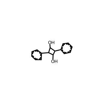 OC1C(c2ccccc2)C(O)C1c1ccccc1